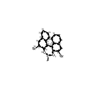 Cp1oc2c(Br)cc3ccccc3c2c2c(o1)c(Br)cc1ccccc12